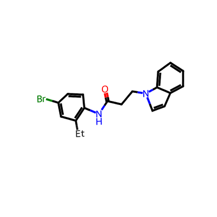 CCc1cc(Br)ccc1NC(=O)CCn1ccc2ccccc21